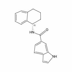 O=C(N[C@H]1CCCc2ccccc21)c1ccc2cc[nH]c2c1